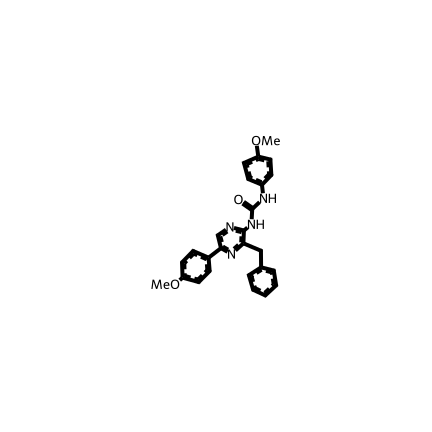 COc1ccc(NC(=O)Nc2ncc(-c3ccc(OC)cc3)nc2Cc2ccccc2)cc1